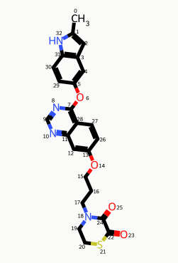 Cc1cc2cc(Oc3ncnc4cc(OCCCN5CCSC(=O)C5=O)ccc34)ccc2[nH]1